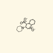 O=[N+]([O-])c1c(N2CCCCC2)c[n+]([O-])c2ccccc12